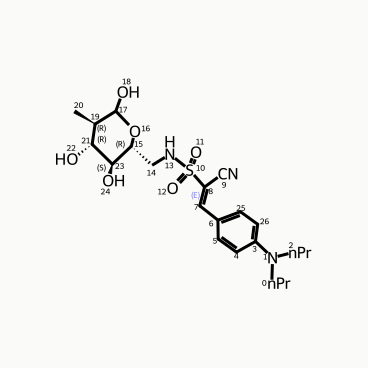 CCCN(CCC)c1ccc(/C=C(\C#N)S(=O)(=O)NC[C@H]2OC(O)[C@H](C)[C@@H](O)[C@@H]2O)cc1